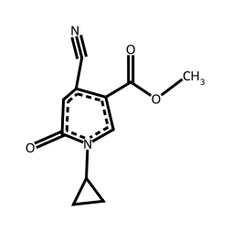 COC(=O)c1cn(C2CC2)c(=O)cc1C#N